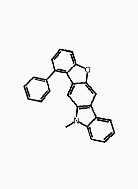 Cn1c2ccccc2c2cc3oc4cccc(-c5ccccc5)c4c3cc21